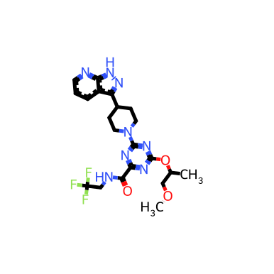 COCC(C)Oc1nc(C(=O)NCC(F)(F)F)nc(N2CCC(c3n[nH]c4ncccc34)CC2)n1